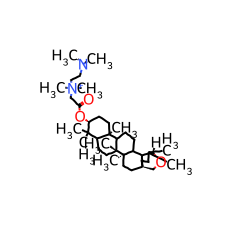 CN(C)CC[N+](C)(C)CC(=O)O[C@H]1CC[C@@]2(C)C(CC[C@]3(C)C2CCC2C4[C@H]5OC[C@@]4(CCC5(C)C)CC[C@]23C)C1(C)C